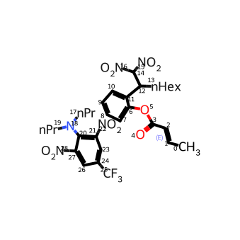 C/C=C/C(=O)Oc1ccccc1C(CCCCCC)C([N+](=O)[O-])[N+](=O)[O-].CCCN(CCC)c1c([N+](=O)[O-])cc(C(F)(F)F)cc1[N+](=O)[O-]